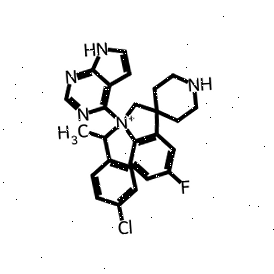 CC(c1ccc(Cl)cc1)[N+]1(c2ncnc3[nH]ccc23)CC2(CCNCC2)c2cc(F)ccc21